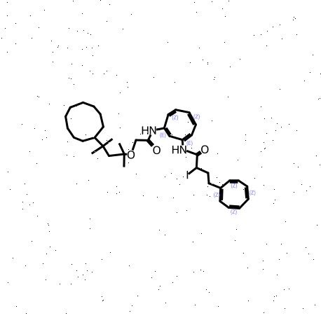 CC(C)(CC(C)(C)C1CCCCCCCCC1)OCC(=O)NC1=C/C(NC(=O)C(I)CCC2=C/C=C\C=C/C=C\2)=C\C=C/C=C\1